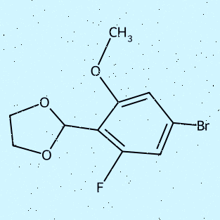 COc1cc(Br)cc(F)c1C1OCCO1